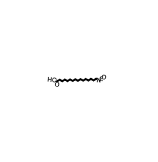 O=C=NCCCCCCCCCCCCCCCC(=O)O